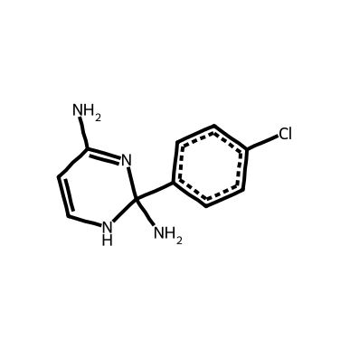 NC1=NC(N)(c2ccc(Cl)cc2)NC=C1